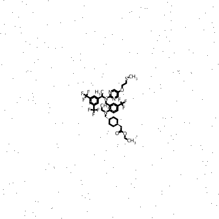 CCOC(=O)C[C@H]1CC[C@H](CN(CC)c2ccc(C(F)(F)F)cc2CN(c2ncc(OCCSC)cn2)C(C)c2cc(C(F)(F)F)cc(C(F)(F)F)c2)CC1